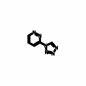 c1cnnc(-n2cnnn2)c1